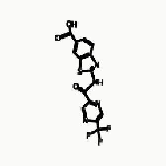 O=C(O)c1ccc2nc(NC(=O)c3cnc(C(F)(F)F)cn3)sc2c1